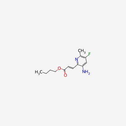 CCCCOC(=O)C=Cc1nc(C)c(F)cc1N